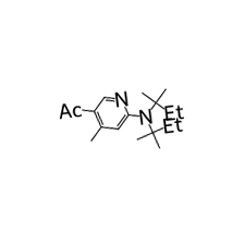 CCC(C)(C)N(c1cc(C)c(C(C)=O)cn1)C(C)(C)CC